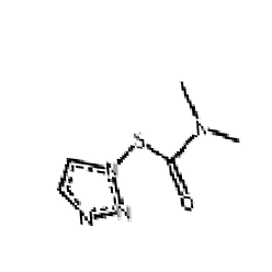 CN(C)C(=O)Sn1ccnn1